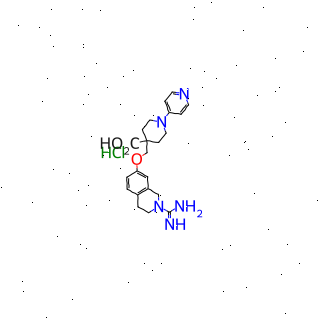 Cl.N=C(N)N1CCc2ccc(OCC3(C(=O)O)CCN(c4ccncc4)CC3)cc2C1